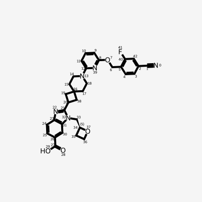 N#Cc1ccc(COc2cccc(N3CCC4(CC3)CC(c3nc5ccc(C(=O)O)cc5n3C[C@@H]3CCO3)C4)n2)c(F)c1